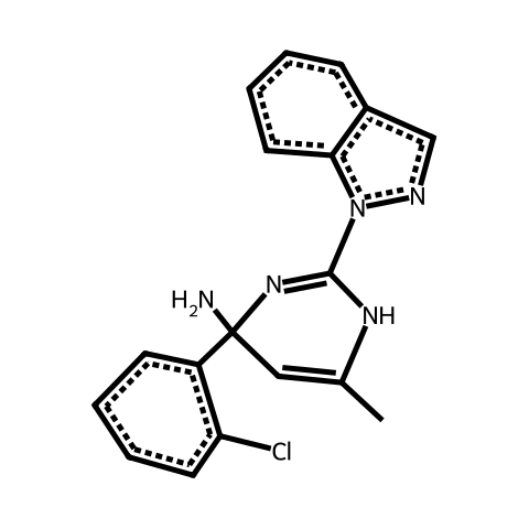 CC1=CC(N)(c2ccccc2Cl)N=C(n2ncc3ccccc32)N1